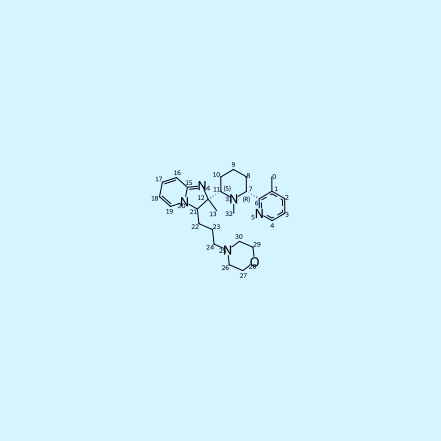 Cc1cccnc1[C@H]1CCC[C@@H](C2(C)N=C3C=CC=CN3C2CCCN2CCOCC2)N1C